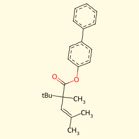 CC(C)=CC(C)(C(=O)Oc1ccc(-c2ccccc2)cc1)C(C)(C)C